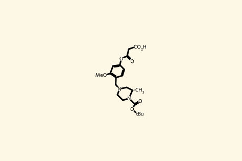 COc1cc(OC(=O)CC(=O)O)ccc1CN1CCN(C(=O)OC(C)(C)C)[C@@H](C)C1